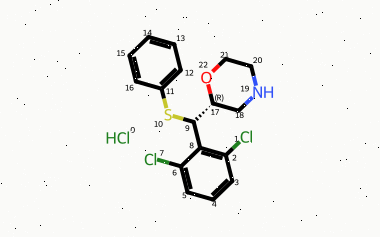 Cl.Clc1cccc(Cl)c1C(Sc1ccccc1)[C@H]1CNCCO1